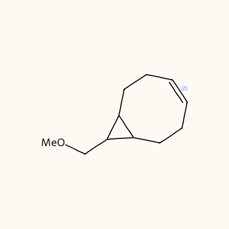 COCC1C2CC/C=C\CCC21